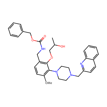 COc1ccc(CNC(=O)OCc2ccccc2)c(OCC(C)O)c1N1CCN(Cc2ccc3ccccc3n2)CC1